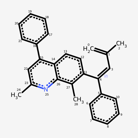 C=C(C)/C=C(/c1ccccc1)c1ccc2c(-c3ccccc3)cc(C)nc2c1C